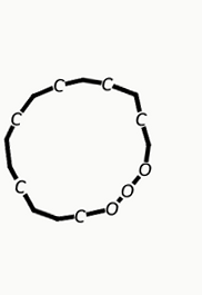 C1CCCCCCCOOOCCCCCC1